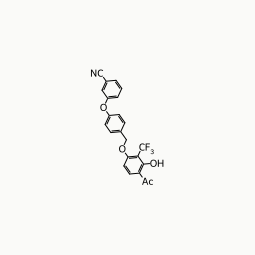 CC(=O)c1ccc(OCc2ccc(Oc3cccc(C#N)c3)cc2)c(C(F)(F)F)c1O